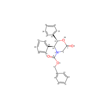 O=C1CN(C(=O)OCc2ccccc2)[C@@H](c2ccccc2)[C@@H](c2ccccc2)O1